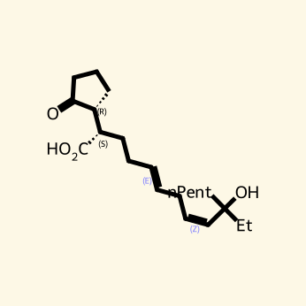 CCCCCC(O)(/C=C\C/C=C/CC[C@H](C(=O)O)[C@H]1CCCC1=O)CC